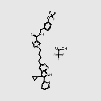 O=C(NCc1cccc(OC(F)(F)F)c1)c1cn(CCCCc2cc3c(C4CC4)c(-c4ccccn4)[nH]c3nn2)nn1.O=C(O)C(F)(F)F